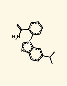 C=C(N)c1ccccc1-n1cnc2ccc(C(C)C)cc21